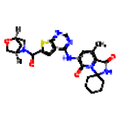 Cc1cc(Nc2ncnc3sc(C(=O)N4C[C@H]5C[C@@H]4CO5)cc23)c(=O)n2c1C(=O)NC21CCCCC1